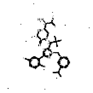 CC(C)c1cccc(Cn2nc(-c3cc(F)ccc3F)nc2[C@H](N(CC[C@@H](N)C(F)F)C(=O)[C@H](C)O)C(C)(C)C)c1